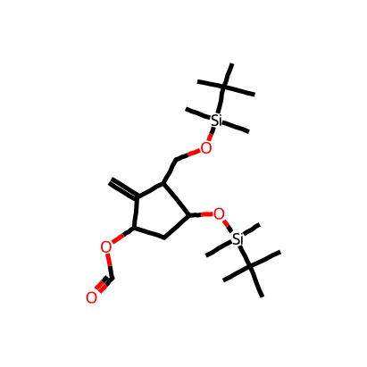 C=C1C(OC=O)CC(O[Si](C)(C)C(C)(C)C)C1CO[Si](C)(C)C(C)(C)C